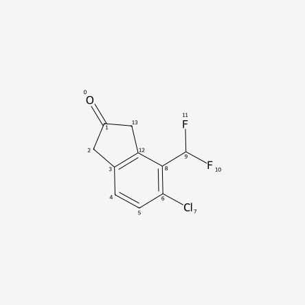 O=C1Cc2ccc(Cl)c(C(F)F)c2C1